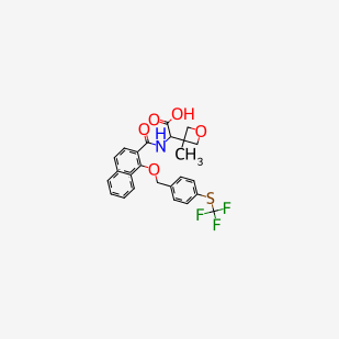 CC1(C(NC(=O)c2ccc3ccccc3c2OCc2ccc(SC(F)(F)F)cc2)C(=O)O)COC1